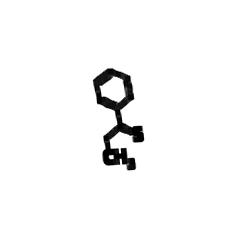 CCC(=S)c1ccccc1